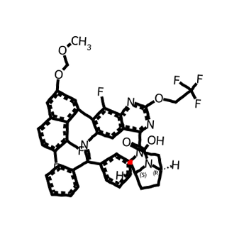 COCOc1cc(-c2c(N=C(c3ccccc3)c3ccccc3)cc3c(N4C[C@H]5CC[C@@H](C4)N5C(=O)O)nc(OCC(F)(F)F)nc3c2F)c2c(F)c(F)ccc2c1